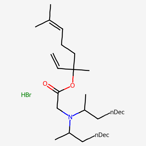 Br.C=CC(C)(CCC=C(C)C)OC(=O)CN(C(C)CCCCCCCCCCC)C(C)CCCCCCCCCCC